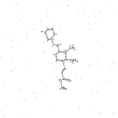 Cc1c(/C=C/C(=O)OC(C)(C)C)ccc(OCc2ccccc2)c1C